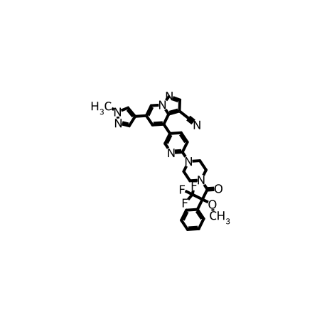 COC(C(=O)N1CCN(c2ccc(-c3cc(-c4cnn(C)c4)cn4ncc(C#N)c34)cn2)CC1)(c1ccccc1)C(F)(F)F